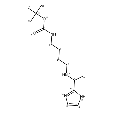 CC(NCCCCNC(=O)OC(C)(C)C)c1ncc[nH]1